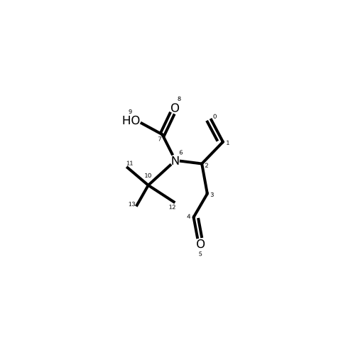 C=CC(CC=O)N(C(=O)O)C(C)(C)C